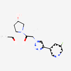 CNC(=O)[C@@H]1C[C@@H](O)CN1C(=O)[C@@H](n1cc(-c2cncc(F)c2)nn1)C(C)(C)C